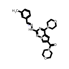 Cc1cccc(/C=N/Nc2nc(N3CCOCC3)c3cc(C(=O)N4CCOCC4)cn3n2)c1